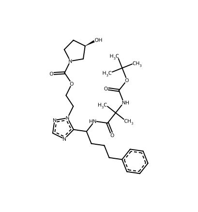 CC(C)(C)OC(=O)NC(C)(C)C(=O)NC(CCCc1ccccc1)c1ncnn1CCOC(=O)N1CC[C@@H](O)C1